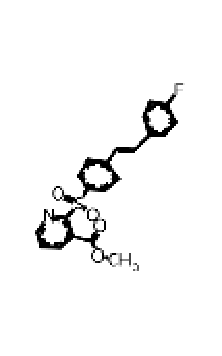 COC(=O)c1cccnc1S(=O)(=O)c1ccc(C=Cc2ccc(F)cc2)cc1